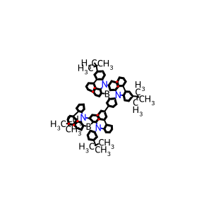 CC(C)(C)c1ccc(N2c3ccccc3B3c4cc(-c5cccc(-c6ccccc6N6c7cc(C(C)(C)C)ccc7B7c8ccc(C(C)(C)C)cc8N(c8ccccc8-c8ccccc8)c8cccc6c87)c5)ccc4N(c4ccc(C(C)(C)C)cc4-c4ccccc4)c4cccc2c43)c(-c2ccccc2)c1